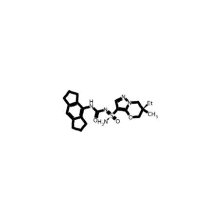 CC[C@@]1(C)COc2c([S@@](N)(=O)=NC(=O)Nc3c4c(cc5c3CCC5)CCC4)cnn2C1